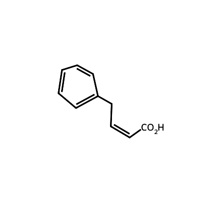 O=C(O)/C=C\Cc1ccccc1